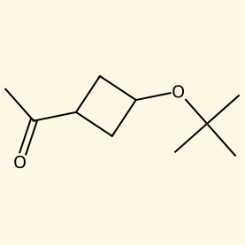 CC(=O)C1CC(OC(C)(C)C)C1